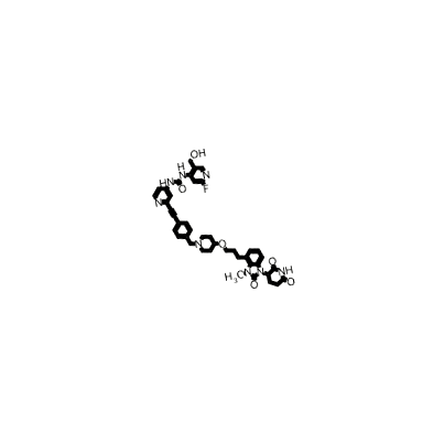 Cn1c(=O)n(C2CCC(=O)NC2=O)c2cccc(CCCOC3CCN(Cc4ccc(C#Cc5cc(NC(=O)Nc6cc(F)ncc6CO)ccn5)cc4)CC3)c21